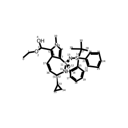 CCOC(O)c1c2c(cn1C)S(=O)(=N[Si](c1ccccc1)(c1ccccc1)C(C)(C)C)N[C@@H](C1CC1)C=C2